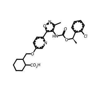 Cc1noc(-c2ccc(OCC3CCCCC3C(=O)O)cn2)c1NC(=O)O[C@H](C)c1ccccc1Cl